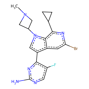 CN1CC(n2cc(-c3nc(N)ncc3F)c3cc(Br)nc(C4CC4)c32)C1